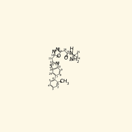 Cc1ccccc1-c1ccc2nc(Cc3nnc(CC(=O)NC4(N)CC4)o3)sc2c1